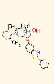 Cc1cccc(C)c1N1CCN(C(C)(O)COc2ccc3sc(-c4ccccc4)nc3c2)CC1